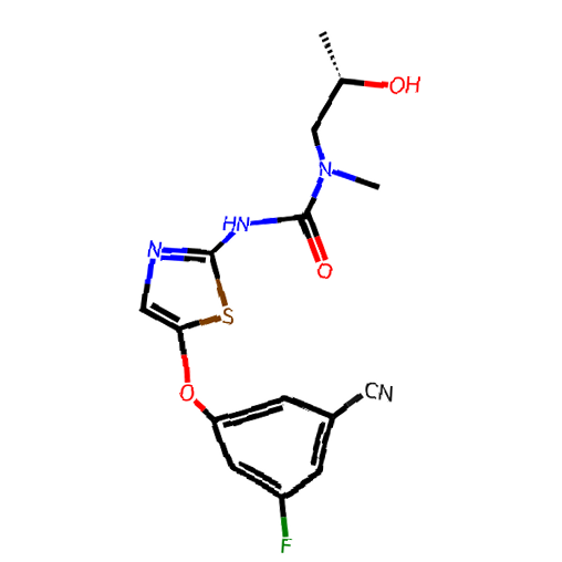 C[C@H](O)CN(C)C(=O)Nc1ncc(Oc2cc(F)cc(C#N)c2)s1